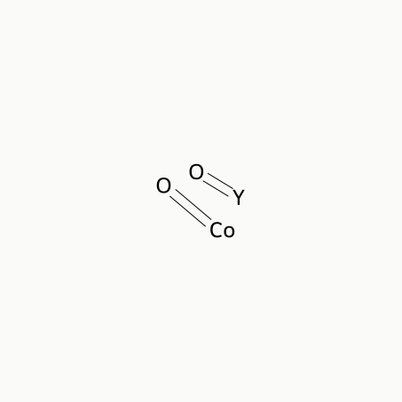 [O]=[Co].[O]=[Y]